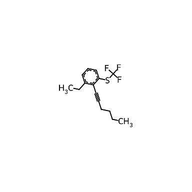 CCCCC#Cc1c(CC)cccc1SC(F)(F)F